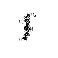 CCOC(=O)c1cc2c(n1C)CN(c1nccc(Nc3ccc(-c4cn[nH]c4)cc3)n1)CC2